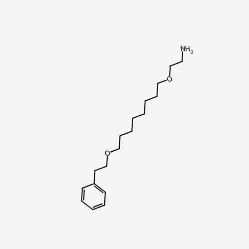 NCCOCCCCCCCCOCCc1ccccc1